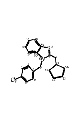 Clc1ccc(Cn2c(CC3CCCC3)nc3ccccc32)cc1